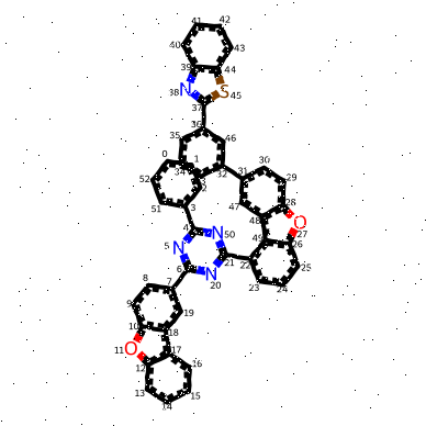 c1ccc(-c2nc(-c3ccc4oc5ccccc5c4c3)nc(-c3cccc4oc5ccc(-c6cccc(-c7nc8ccccc8s7)c6)cc5c34)n2)cc1